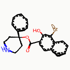 O=C(OC1(c2ccccc2)CCNCC1)c1cc2ccccc2c(Br)c1O